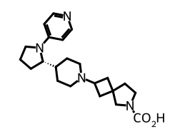 O=C(O)N1CCC2(CC(N3CCC([C@@H]4CCCN4c4ccncc4)CC3)C2)C1